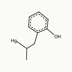 C[CH]([Hg])Cc1ccccc1O